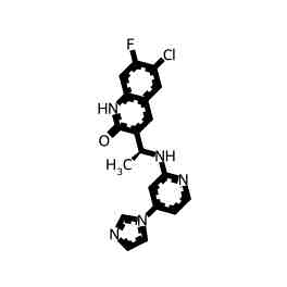 C[C@H](Nc1cc(-n2ccnc2)ccn1)c1cc2cc(Cl)c(F)cc2[nH]c1=O